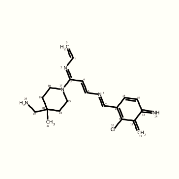 C=C\N=C(/C=C/N=C/C1=C(Cl)C(=C)C(=N)C=C1)N1CCC(C)(CN)CC1